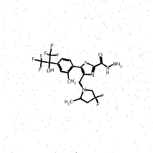 Cc1cc(C(O)(C(F)(F)F)C(F)(F)F)ccc1-c1sc(C(=O)NN)nc1CN1CC(F)(F)CC1C